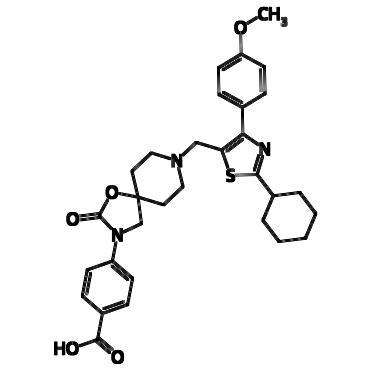 COc1ccc(-c2nc(C3CCCCC3)sc2CN2CCC3(CC2)CN(c2ccc(C(=O)O)cc2)C(=O)O3)cc1